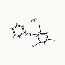 Br.Cc1cc(C)[c]([Mg][c]2ccccc2)c(C)c1